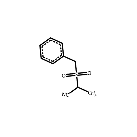 CC(C#N)S(=O)(=O)Cc1ccccc1